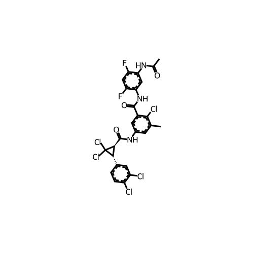 CC(=O)Nc1cc(NC(=O)c2cc(NC(=O)[C@H]3[C@H](c4ccc(Cl)c(Cl)c4)C3(Cl)Cl)cc(C)c2Cl)c(F)cc1F